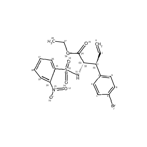 C=C[C@@H](c1ccc(Br)cc1)[C@H](NS(=O)(=O)c1ccccc1[N+](=O)[O-])C(=O)OCC